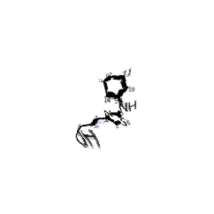 OC/C=C/c1csc(Nc2ccccc2)n1